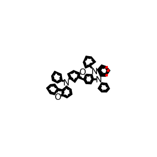 c1ccc(N(c2ccccc2)c2ccc3c(oc4ccc(N(c5ccccc5)c5cccc6oc7ccccc7c56)cc43)c2N(c2ccccc2)c2ccccc2)cc1